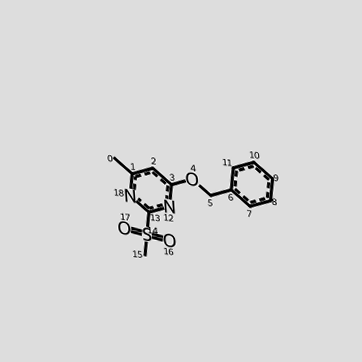 Cc1cc(OCc2ccccc2)nc(S(C)(=O)=O)n1